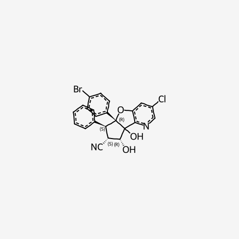 N#C[C@H]1[C@@H](O)C2(O)c3ncc(Cl)cc3O[C@@]2(c2ccc(Br)cc2)[C@@H]1c1ccccc1